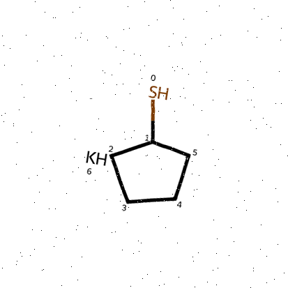 SC1CCCC1.[KH]